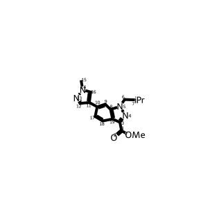 COC(=O)c1nn(CC(C)C)c2cc(-c3cnn(C)c3)ccc12